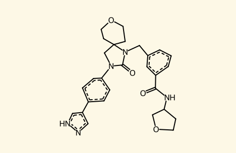 O=C(NC1CCOC1)c1cccc(CN2C(=O)N(c3ccc(-c4cn[nH]c4)cc3)CC23CCOCC3)c1